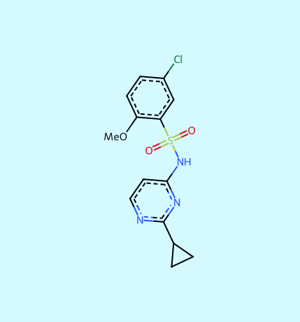 COc1ccc(Cl)cc1S(=O)(=O)Nc1ccnc(C2CC2)n1